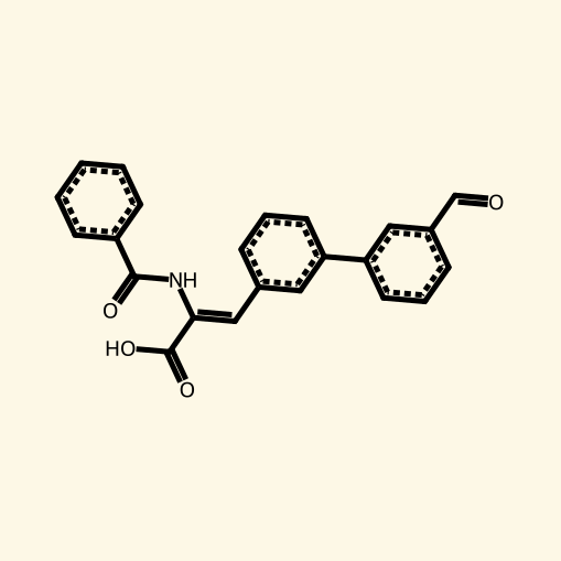 O=Cc1cccc(-c2cccc(C=C(NC(=O)c3ccccc3)C(=O)O)c2)c1